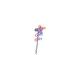 CCCCCCCCCCCCCC(=O)NCCC(=O)NC(C)C(=O)N1CCCC1C(=O)NC(Cc1ccccc1)C(=O)O